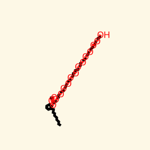 CCCCCCCCCc1ccccc1OC(COCCOCCOCCOCCOCCOCCOCCOCCOCCOCCOCCOCCO)OC(C)=O